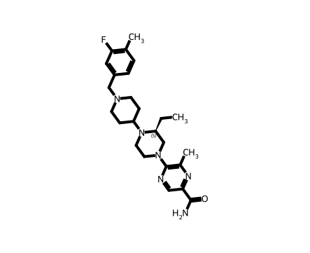 CC[C@H]1CN(c2ncc(C(N)=O)nc2C)CCN1C1CCN(Cc2ccc(C)c(F)c2)CC1